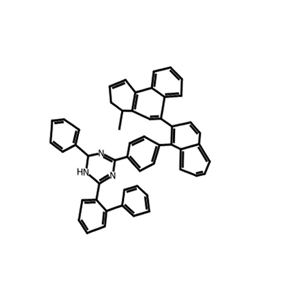 CC1CC=Cc2c1cc(-c1ccc3ccccc3c1-c1ccc(C3=NC(c4ccccc4)NC(c4ccccc4-c4ccccc4)=N3)cc1)c1ccccc21